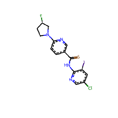 F[C@@H]1CCN(c2ccc(C(=S)Nc3ncc(Cl)cc3I)cn2)C1